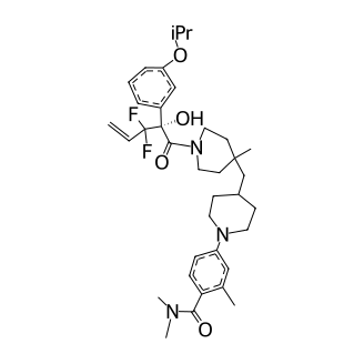 C=CC(F)(F)[C@](O)(C(=O)N1CCC(C)(CC2CCN(c3ccc(C(=O)N(C)C)c(C)c3)CC2)CC1)c1cccc(OC(C)C)c1